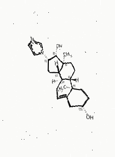 C[C@]12CC[C@H]3[C@@H](CC=C4C[C@@H](O)CC[C@@]43C)[C@@H]1C[C@H](n1ccnc1)[C@@H]2O